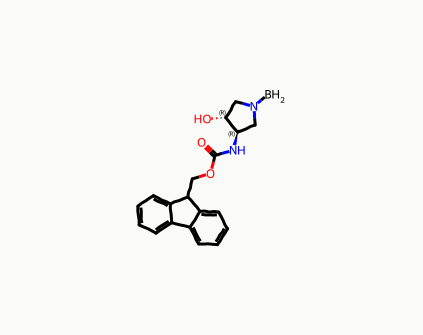 BN1C[C@@H](O)[C@H](NC(=O)OCC2c3ccccc3-c3ccccc32)C1